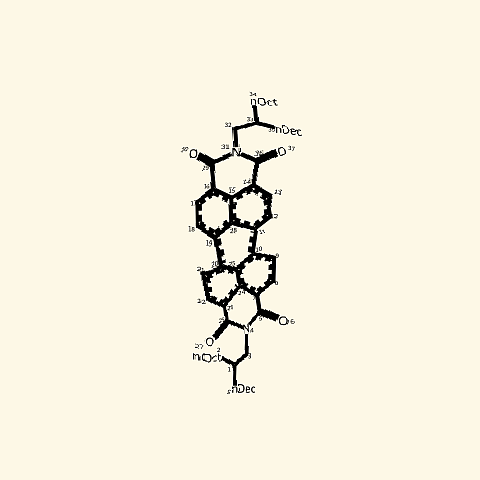 CCCCCCCCCCC(CCCCCCCC)CN1C(=O)c2ccc3c4ccc5c6c(ccc(c7ccc(c2c37)C1=O)c64)C(=O)N(CC(CCCCCCCC)CCCCCCCCCC)C5=O